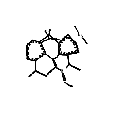 CN=NC(C)=C(c1c(C(C)C)cccc1C(C)C)c1c(C(C)C)cccc1C(C)C.[CH3][Pd][CH3]